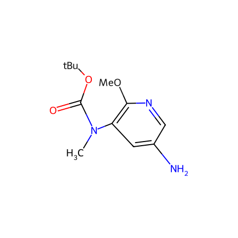 COc1ncc(N)cc1N(C)C(=O)OC(C)(C)C